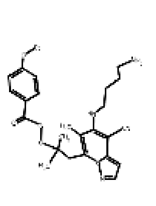 CCOc1ccc(C(=O)[N]OC(C)(C)Cc2c(C)c(NCCCCN)c(C#N)c3ccnn23)cc1